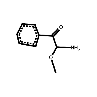 COC(N)C(=O)c1ccccc1